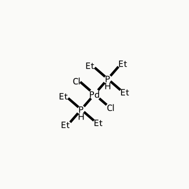 CC[PH](CC)(CC)[Pd]([Cl])([Cl])[PH](CC)(CC)CC